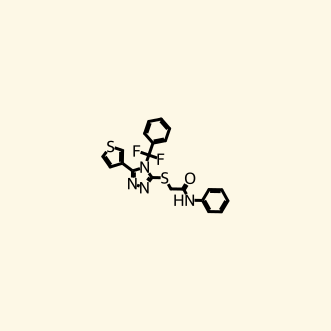 O=C(CSc1nnc(-c2ccsc2)n1C(F)(F)c1ccccc1)Nc1ccccc1